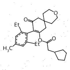 CCc1cc(C)cc(CC)c1C1=C(OC(=O)CC2CCCC2)CC2(CCOCC2)CC1=O